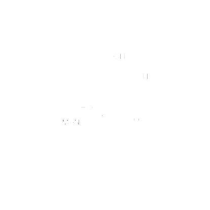 CNCC1(O)c2ccccc2OCc2c1ccc(O)c2O